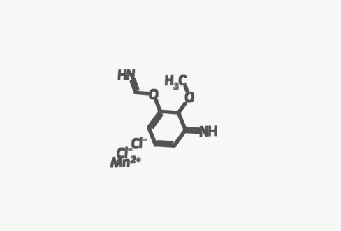 COC1C(=N)C=CC=C1OC=N.[Cl-].[Cl-].[Mn+2]